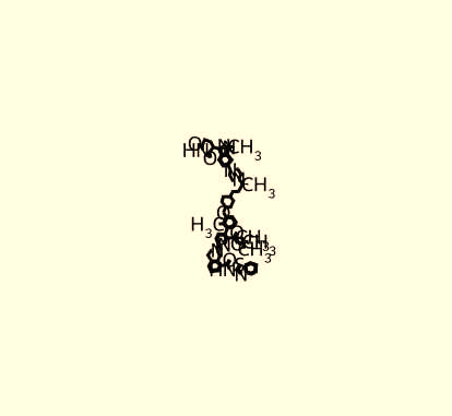 Cc1c(OC2CCC(CC[C@H](C)N3CCN(c4ccc5c(C6CCC(=O)NC6=O)nn(C)c5c4)CC3)CC2)cccc1-c1ccc(N2CCc3cccc(C(=O)Nc4nc5ccccc5s4)c3C2)nc1C(=O)OC(C)(C)C